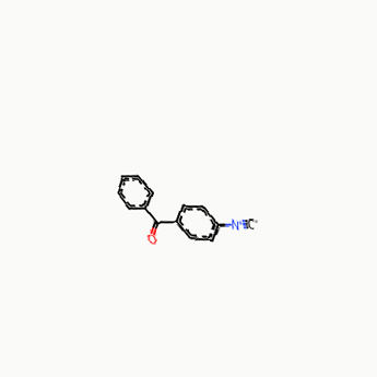 [C-]#[N+]c1ccc(C(=O)c2ccccc2)cc1